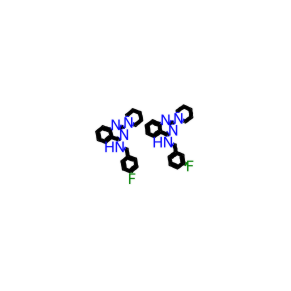 Fc1ccc(CNc2nc(N3CCCCC3)nc3ccccc23)cc1.Fc1cccc(CNc2nc(N3CCCCC3)nc3ccccc23)c1